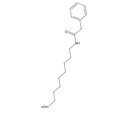 CCCCCCCCCCCCCCCCCCNC(=O)[CH]c1ccccc1